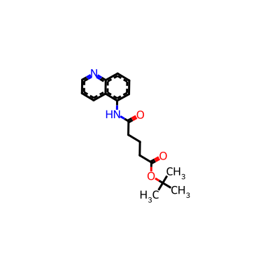 CC(C)(C)OC(=O)CCCC(=O)Nc1cccc2ncccc12